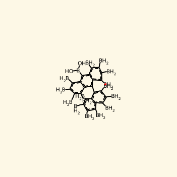 Bc1c(B)c(B)c2c(-c3c4c(B)c(B)c(B)c(B)c4c(B(O)O)c4c(B)c(B)c(B)c(B)c34)c(B)c(B)c(B)c2c1B